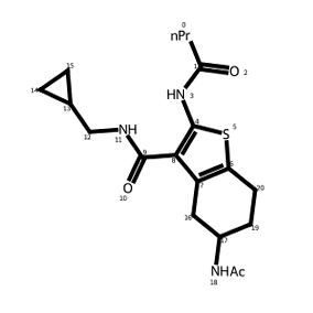 CCCC(=O)Nc1sc2c(c1C(=O)NCC1CC1)CC(NC(C)=O)CC2